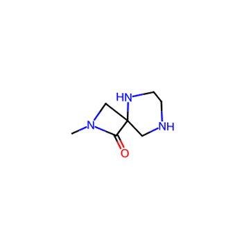 CN1CC2(CNCCN2)C1=O